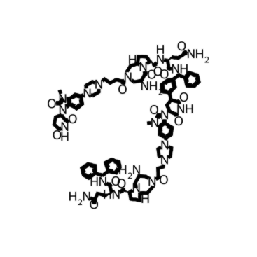 Cn1c(=O)n(C2CCC(=O)NC2=O)c2ccc(N3CCN(CCCC(=O)N4CC[C@H]5CC[C@@H](C(=O)N[C@@H](CCC(N)=O)C(=O)NC(c6ccccc6)c6cccc(C7CC(n8c(=O)n(C)c9cc(N%10CCN(CCC(=O)N%11CC[C@H]%12CC[C@@H](C(=O)N[C@@H](CCC(N)=O)C(=O)NC(c%13ccccc%13)c%13ccccc%13)N%12C[C@@H](N)C%11)CC%10)ccc98)C(=O)NC7=O)c6)N5C(=O)[C@@H](N)C4)CC3)cc21